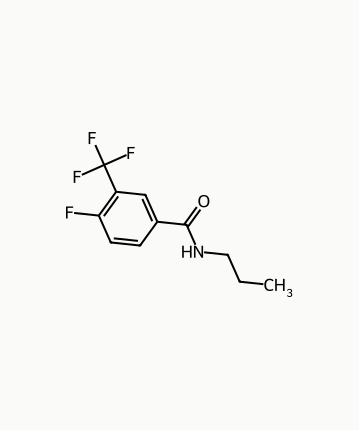 CCCNC(=O)c1ccc(F)c(C(F)(F)F)c1